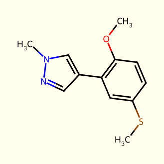 COc1ccc(SC)cc1-c1cnn(C)c1